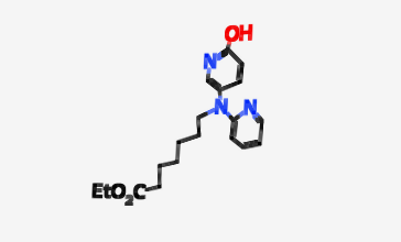 CCOC(=O)CCCCCCN(c1ccc(O)nc1)c1ccccn1